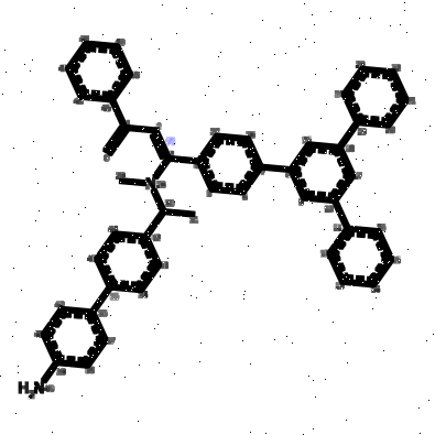 C=C(/C=C(/c1ccc(-c2cc(-c3ccccc3)cc(-c3ccccc3)c2)cc1)N(C)C(C)c1ccc(-c2ccc(N)cc2)cc1)c1ccccc1